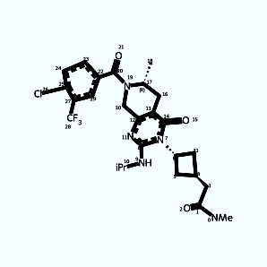 CNC(=O)C[C@H]1C[C@H](n2c(NC(C)C)nc3c(c2=O)C[C@@H](C)N(C(=O)c2ccc(Cl)c(C(F)(F)F)c2)C3)C1